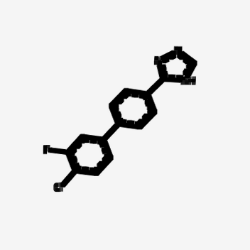 Fc1cc(-c2ccc(-c3nnc[nH]3)cc2)ccc1Cl